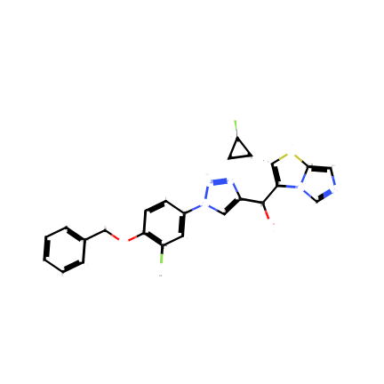 OC(c1cn(-c2ccc(OCc3ccccc3)c(F)c2)nn1)c1c([C@@H]2C[C@H]2F)sc2cncn12